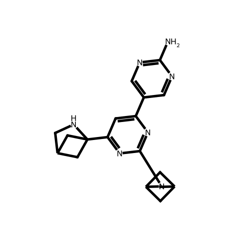 Nc1ncc(-c2cc(C34CC(CN3)C4)nc(N3CC4CC3C4)n2)cn1